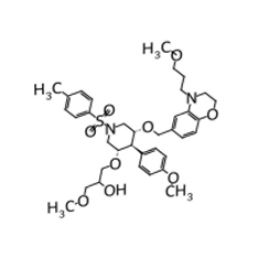 COCCCN1CCOc2ccc(CO[C@H]3CN(S(=O)(=O)c4ccc(C)cc4)C[C@@H](OCC(O)COC)[C@@H]3c3ccc(OC)cc3)cc21